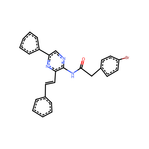 O=C(Cc1ccc(Br)cc1)Nc1ncc(-c2ccccc2)nc1/C=C/c1ccccc1